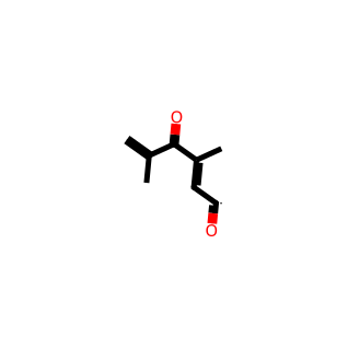 C=C(C)C(=O)C(C)=C[C]=O